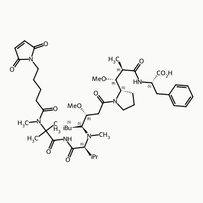 CC[C@H](C)[C@@H]([C@@H](CC(=O)N1CCC[C@H]1[C@H](OC)[C@@H](C)C(=O)N[C@@H](Cc1ccccc1)C(=O)O)OC)N(C)[C@H](C(=O)NC(=O)C(C)(C)N(C)C(=O)CCCCN1C(=O)C=CC1=O)C(C)C